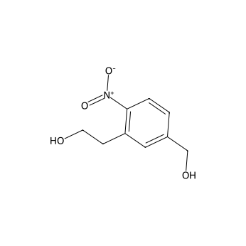 O=[N+]([O-])c1ccc(CO)cc1CCO